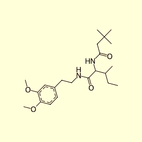 CCC(C)C(NC(=O)CC(C)(C)C)C(=O)NCCc1ccc(OC)c(OC)c1